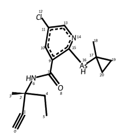 C#C[C@@](C)(CC)NC(=O)c1cc(Cl)cnc1[AsH]C1(C)CC1